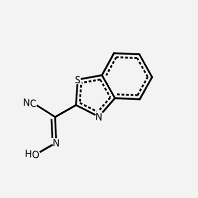 N#CC(=NO)c1nc2ccccc2s1